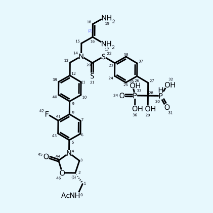 CC(=O)NC[C@H]1CN(c2ccc(-c3ccc(CN(C/C(N)=C/N)C(=S)Sc4ccc(CC(O)([PH](=O)O)P(=O)(O)O)cc4)cc3)c(F)c2)C(=O)O1